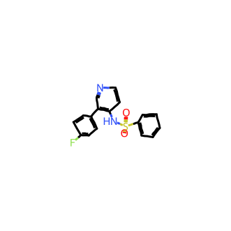 O=S(=O)(Nc1ccncc1-c1ccc(F)cc1)c1ccccc1